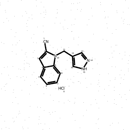 Cl.N#Cc1cc2ccccc2n1Cc1cn[nH]c1